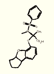 CN(C(O)(Oc1cccc2c1OC1CCCC21)C(=O)O)S(=O)(=O)c1ccccc1